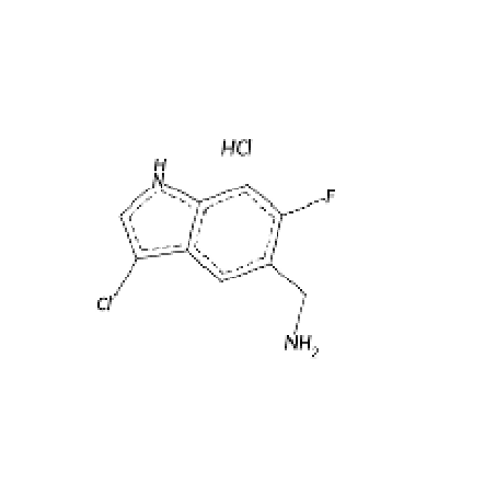 Cl.NCc1cc2c(Cl)c[nH]c2cc1F